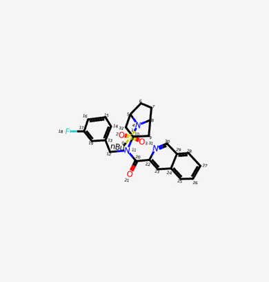 CCCCS(=O)(=O)N1C2CCC1CC(N(Cc1cccc(F)c1)C(=O)c1cc3ccccc3cn1)C2